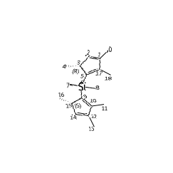 CC1=[C][C@@H](C)C([Si](C)(C)C2=C(C)C(C)=[C][C@@H]2C)=C1C